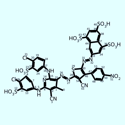 Cc1c(C#N)c(Nc2ccc(Cl)c(S(=O)(=O)O)c2)nc(Nc2ccc(Cl)c(S(=O)(=O)O)c2)c1N=Nc1sc(N=Nc2cc(S(=O)(=O)O)c3cc(S(=O)(=O)O)cc(S(=O)(=O)O)c3c2)c(-c2ccc([N+](=O)[O-])cc2)c1C#N